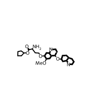 COc1cc2c(Oc3ccc4cccnc4c3)ccnc2cc1OCCC(N)C(=O)OC1CCCC1